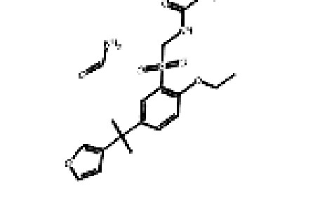 CCOc1ccc(C(C)(C)c2ccoc2)cc1S(=O)(=O)CNC(N)=O.NC=O